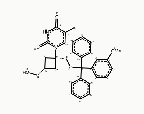 COc1cccc(C(OC[C@]2(n3cc(C)c(=O)[nH]c3=O)C[C@H](CO)C2)(c2ccccc2)c2ccccc2)c1